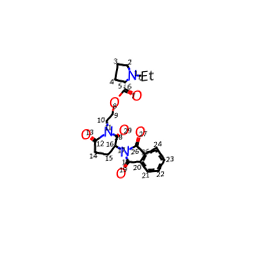 CCN1CCC[C@H]1C(=O)OCCN1C(=O)CCC(N2C(=O)c3ccccc3C2=O)C1=O